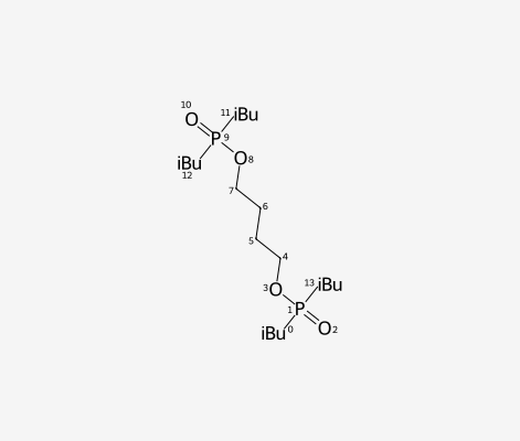 CCC(C)P(=O)(OCCCCOP(=O)(C(C)CC)C(C)CC)C(C)CC